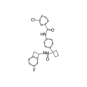 O=C(Nc1ccc(C2(C(=O)NC3Cc4ccc(F)cc43)CCC2)cc1)c1cccc(Cl)c1